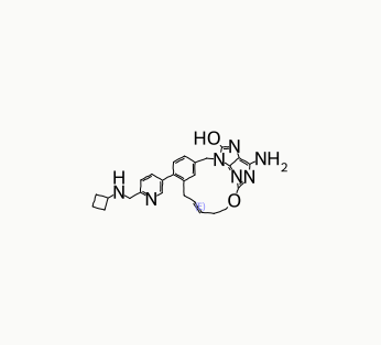 Nc1nc2nc3c1nc(O)n3Cc1ccc(-c3ccc(CNC4CCC4)nc3)c(c1)C/C=C/CCO2